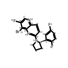 Fc1ccc(F)c([C@H]2CCCN2c2ccc3ncc(F)c(Br)c3n2)c1